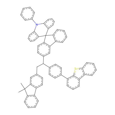 CC1(C)c2ccccc2-c2ccc(CC(c3ccc(-c4cccc5c4sc4ccccc45)cc3)c3ccc4c(c3)-c3ccccc3C43c4ccccc4N(c4ccccc4)c4ccccc43)cc21